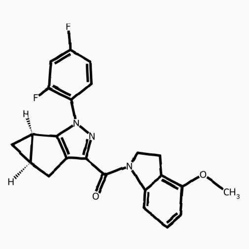 COc1cccc2c1CCN2C(=O)c1nn(-c2ccc(F)cc2F)c2c1C[C@H]1C[C@@H]21